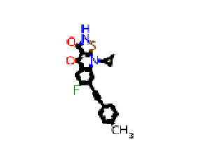 Cc1ccc(C#Cc2cc3c(cc2F)c(=O)c2c(=O)[nH]sc2n3C2CC2)cc1